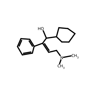 CN(C)CC=C(c1ccccc1)C(O)C1CCCCC1